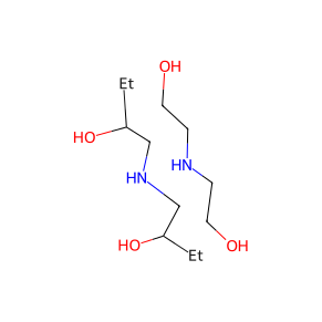 CCC(O)CNCC(O)CC.OCCNCCO